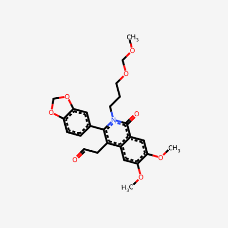 COCOCCCn1c(-c2ccc3c(c2)OCO3)c(CC=O)c2cc(OC)c(OC)cc2c1=O